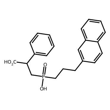 O=C(O)C(CP(=O)(O)CCCc1ccc2ccccc2c1)c1ccccc1